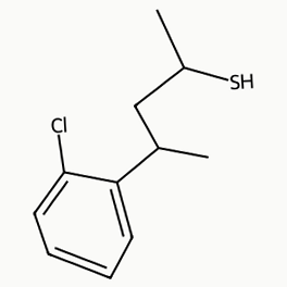 CC(S)CC(C)c1ccccc1Cl